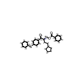 O=C(O/N=C(\CCC1CCCC1)C(=O)c1ccc(Sc2ccccc2)cc1)c1ccccc1